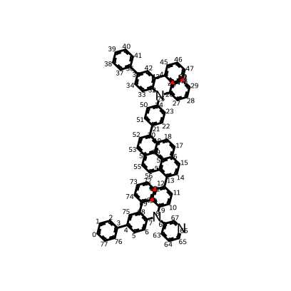 c1ccc(-c2ccc(N(c3ccc(-c4ccc5ccc6c(-c7ccc(N(c8cccnc8)c8ccc(-c9ccccc9)cc8-c8ccccc8)cc7)ccc7ccc4c5c76)cc3)c3cccnc3)c(-c3ccccc3)c2)cc1